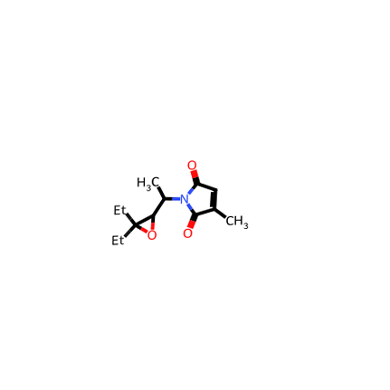 CCC1(CC)OC1C(C)N1C(=O)C=C(C)C1=O